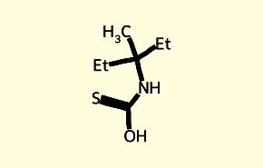 CCC(C)(CC)NC(O)=S